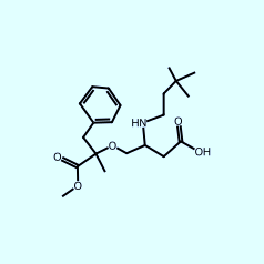 COC(=O)C(C)(Cc1ccccc1)OCC(CC(=O)O)NCCC(C)(C)C